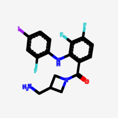 NCC1CN(C(=O)c2ccc(F)c(F)c2Nc2ccc(I)cc2F)C1